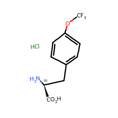 Cl.N[C@@H](Cc1ccc(OC(F)(F)F)cc1)C(=O)O